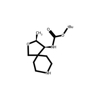 C[C@@H]1OCC2(CCNCC2)[C@@H]1NC(=O)OC(C)(C)C